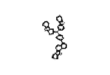 c1ccc2c(c1)oc1c3cccc(-c4ccc(N(c5ccc6sc7ccccc7c6c5)c5ccc6sc7ccccc7c6c5)cc4)c3ccc21